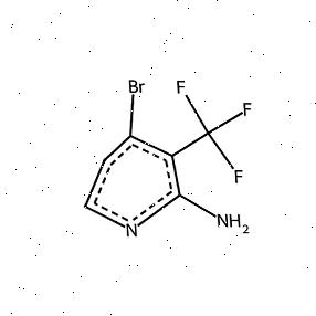 Nc1nccc(Br)c1C(F)(F)F